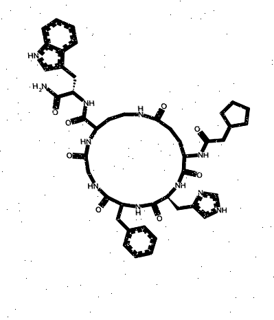 NC(=O)[C@H](Cc1c[nH]c2ccccc12)NC(=O)C1CCNC(=O)CCC(NC(=O)CC2CCCC2)C(=O)N[C@@H](Cc2c[nH]cn2)C(=O)NC(Cc2ccccc2)C(=O)NCC(=O)N1